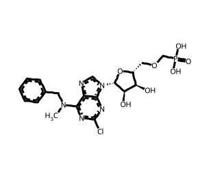 CN(Cc1ccccc1)c1nc(Cl)nc2c1ncn2[C@@H]1O[C@H](COCP(=O)(O)O)[C@@H](O)[C@H]1O